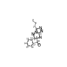 CCCc1nnc2nc3c(nn12)-c1ccccc1C3=O